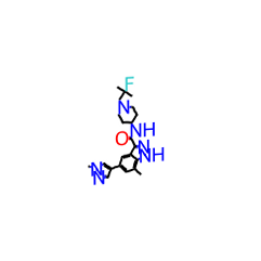 Cc1cc(-c2cnn(C)c2)cc2c(C(=O)NC3CCN(CC(C)(C)F)CC3)n[nH]c12